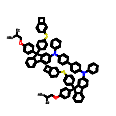 CCCCC(CC)COc1ccc(C2(c3ccc(Sc4ccc5c(c4)CC5)cc3)c3ccccc3-c3ccc(N(c4ccccc4)c4ccc(-c5ccc(N(c6ccccc6)c6ccc7c(c6)C(c6ccc(OCC(CC)CCCC)cc6)(c6ccc(Sc8ccc9c(c8)CC9)cc6)c6ccccc6-7)cc5)cc4)cc32)cc1